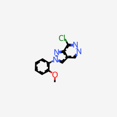 COc1ccccc1-n1cc2cnnc(Cl)c2n1